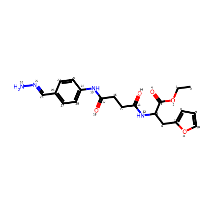 CCOC(=O)C(Cc1ccco1)NC(=O)CCC(=O)Nc1ccc(C=NN)cc1